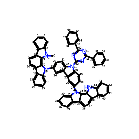 Cn1c2ccccc2c2ccc3c4ccccc4n(-c4ccc5c(c4)c4cc(-n6c7ccccc7c7ccc8c9ccccc9[nH]c8c76)ccc4n5-c4nc(-c5ccccc5)nc(-c5ccccc5)n4)c3c21